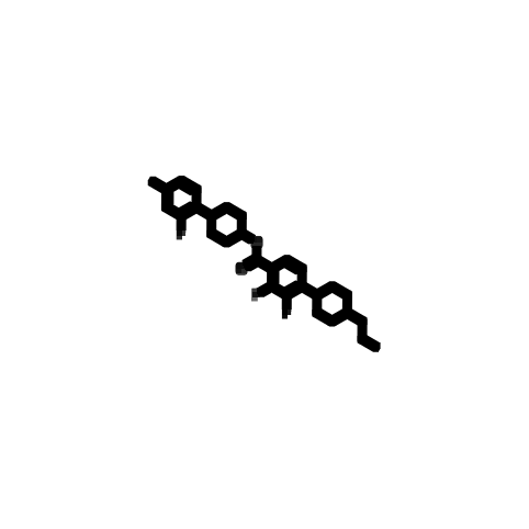 CCCC1CCC(c2ccc(C(=O)OC3CCC(c4ccc(C)cc4F)CC3)c(F)c2F)CC1